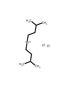 CC(C)C[CH2][Sn+2][CH2]CC(C)C.[Cl-].[Cl-]